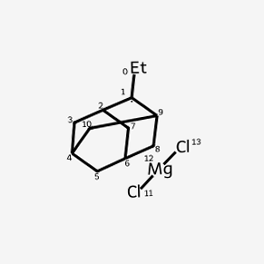 CC[C]1C2CC3CC(C2)CC1C3.[Cl][Mg][Cl]